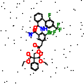 CCOC(=O)C(COC(=O)Cc1cc(Br)c(NC(=O)c2ccccc2-c2ccc(C(F)(F)F)cc2F)c(C(=O)N(C)C)c1)(C(=O)OCC)c1ccccc1